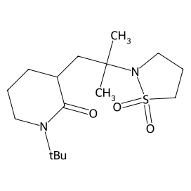 CC(C)(C)N1CCCC(CC(C)(C)N2CCCS2(=O)=O)C1=O